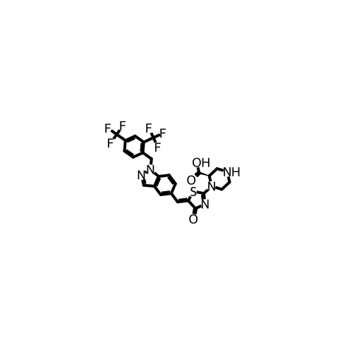 O=C1N=C(N2CCNC[C@@H]2C(=O)O)S/C1=C\c1ccc2c(cnn2Cc2ccc(C(F)(F)F)cc2C(F)(F)F)c1